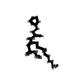 CC(C)(C)OC(=O)CC(CCNCCCCC(=O)O)NC(=O)OCc1ccccc1